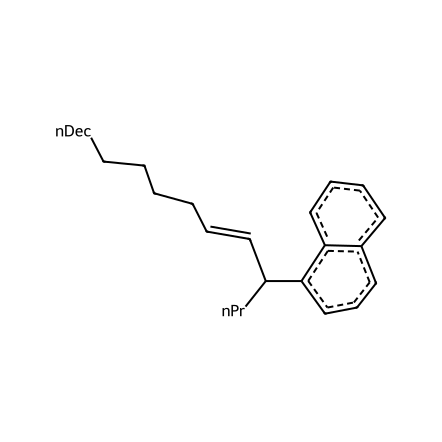 CCCCCCCCCCCCCC/C=C/C(CCC)c1cccc2ccccc12